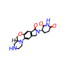 O=C1CC[C@@H](N2Cc3cc4c(cc3C2=O)OC[C@H]2CNCCN42)C(=O)N1